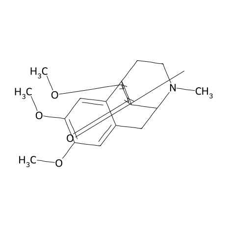 COC1=CC23CCN(C)C(Cc4cc(OC)c(OC)cc42)C3=CC1=O